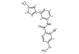 COc1ccc(C(=O)Nc2cccc(-c3coc(C)n3)c2)c(Br)c1